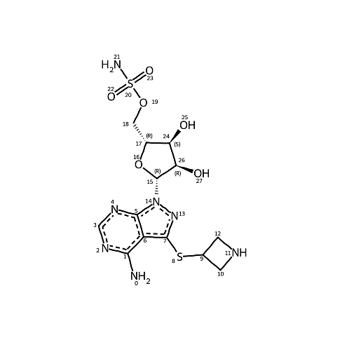 Nc1ncnc2c1c(SC1CNC1)nn2[C@@H]1O[C@H](COS(N)(=O)=O)[C@@H](O)[C@H]1O